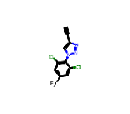 C#Cc1cn(-c2c(Cl)cc(C(F)(F)F)cc2Cl)nn1